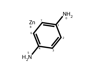 Nc1ccc(N)cc1.[Zn]